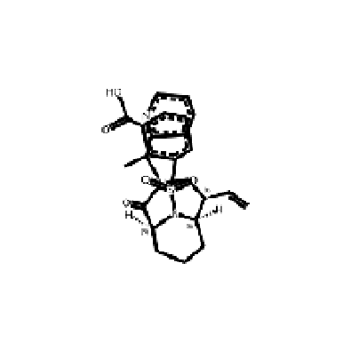 C=C[C@@H]1CN(Cc2ccccn2)C(=O)[C@@H]2CCC[C@H]1N2S(=O)(=O)c1cccc(C(=O)O)c1C